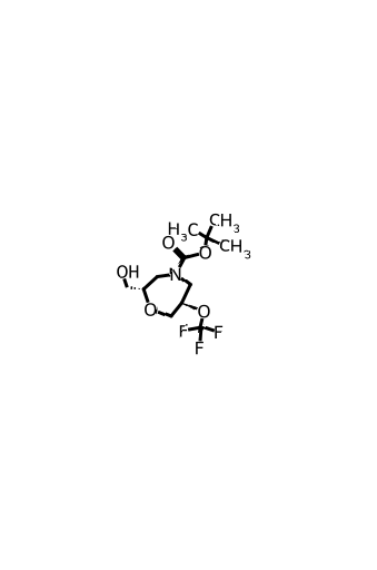 CC(C)(C)OC(=O)N1C[C@@H](CO)OC[C@H](OC(F)(F)F)C1